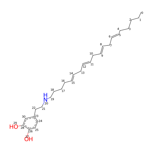 CCCCCC=CCC=CCC=CCC=CCCCCNCCc1ccc(O)c(O)c1